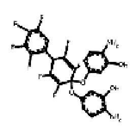 Nc1ccc(OC2(Oc3ccc(N)c(O)c3)C(F)=C(F)C(c3cc(F)c(F)c(F)c3F)C(F)=C2F)cc1O